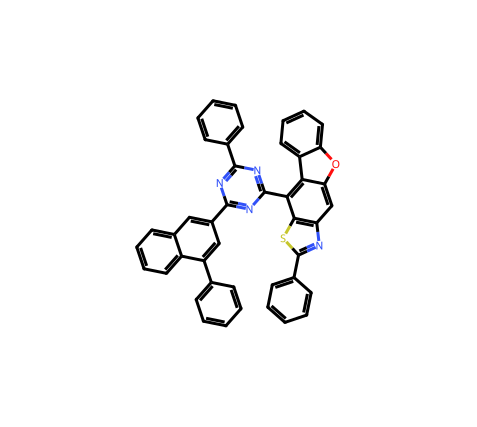 c1ccc(-c2nc(-c3cc(-c4ccccc4)c4ccccc4c3)nc(-c3c4sc(-c5ccccc5)nc4cc4oc5ccccc5c34)n2)cc1